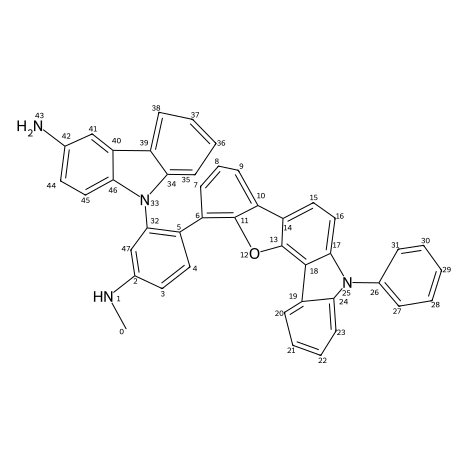 CNc1ccc(-c2cccc3c2oc2c3ccc3c2c2ccccc2n3-c2ccccc2)c(-n2c3ccccc3c3cc(N)ccc32)c1